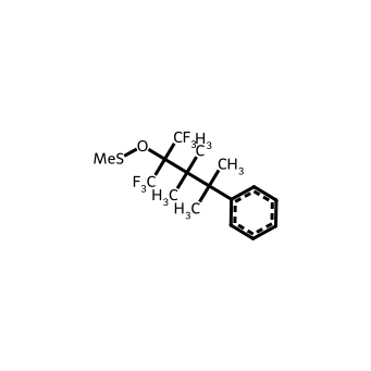 CSOC(C(F)(F)F)(C(F)(F)F)C(C)(C)C(C)(C)c1ccccc1